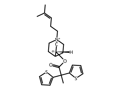 CC(C)=CCC[N+]12CCC(CC1)[C@@H](OC(=O)C(C)(c1cccs1)c1cccs1)C2